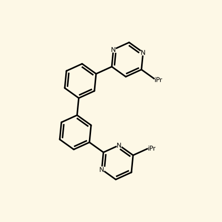 CC(C)c1cc(-c2cccc(-c3cccc(-c4nccc(C(C)C)n4)c3)c2)ncn1